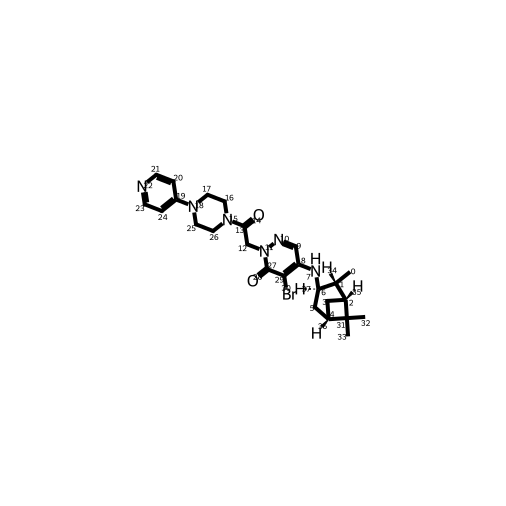 C[C@@H]1[C@H]2C[C@@H](C[C@H]1Nc1cnn(CC(=O)N3CCN(c4ccncc4)CC3)c(=O)c1Br)C2(C)C